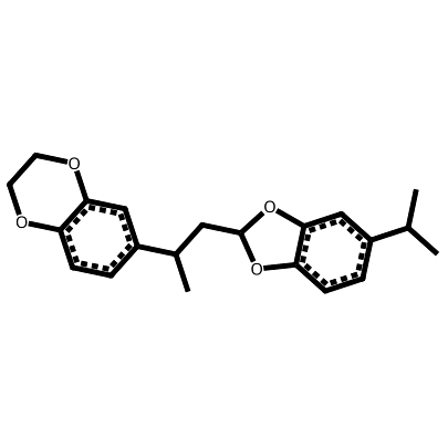 CC(C)c1ccc2c(c1)OC(CC(C)c1ccc3c(c1)OCCO3)O2